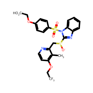 Cc1c(OCC(F)(F)F)ccnc1C[S+]([O-])c1nc2ccccc2n1S(=O)(=O)c1ccc(OCC(=O)O)cc1